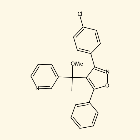 COC(C)(c1cccnc1)c1c(-c2ccc(Cl)cc2)noc1-c1ccccc1